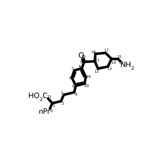 CCCC(CCCc1ccc(C(=O)C2CCC(CN)CC2)cc1)C(=O)O